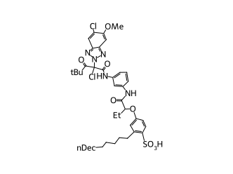 CCCCCCCCCCCCCCCc1cc(OC(CC)C(=O)Nc2cccc(NC(=O)C(Cl)(C(=O)C(C)(C)C)n3nc4cc(Cl)c(OC)cc4n3)c2)ccc1S(=O)(=O)O